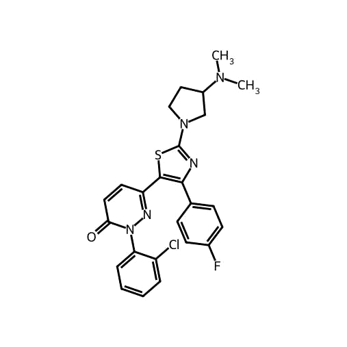 CN(C)C1CCN(c2nc(-c3ccc(F)cc3)c(-c3ccc(=O)n(-c4ccccc4Cl)n3)s2)C1